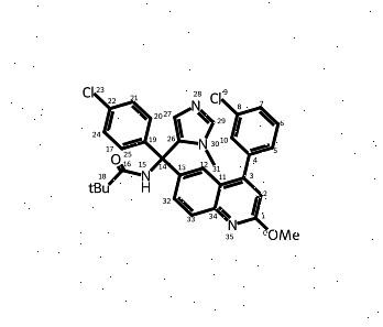 COc1cc(-c2cccc(Cl)c2)c2cc(C(NC(=O)C(C)(C)C)(c3ccc(Cl)cc3)c3cncn3C)ccc2n1